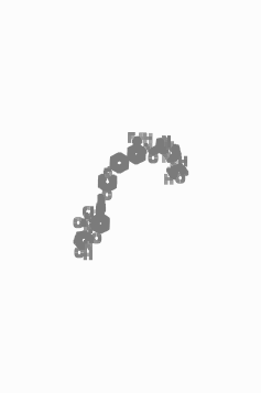 Cn1c(=O)n(C2CCC(=O)NC2=O)c2cccc(C#CCOC3CCN(C[C@H]4CC[C@H](c5ccc(NC(=O)c6cnn7ccc(N8C[C@H]9C[C@@H]8CO9)nc67)c(C(F)F)c5)CC4)CC3)c21